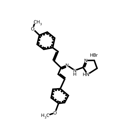 Br.COc1ccc(C=CC(C=Cc2ccc(OC)cc2)=NNC2=NCCN2)cc1